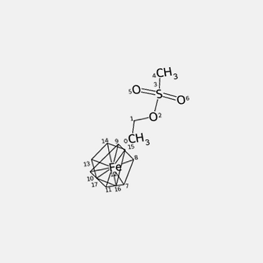 CCOS(C)(=O)=O.[CH]12[CH]3[CH]4[CH]5[CH]1[Fe]23451678[CH]2[CH]1[CH]6[CH]7[CH]28